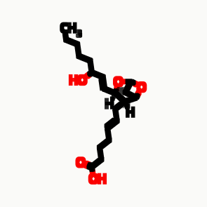 CCCCCC(O)C=C[C@H]1OC2CC(O2)[C@@H]1CC=CCCCC(=O)O